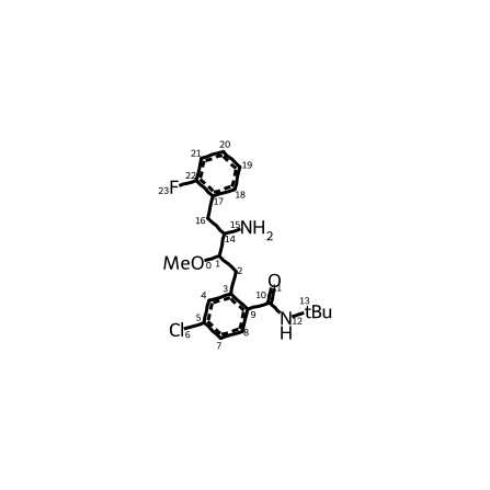 COC(Cc1cc(Cl)ccc1C(=O)NC(C)(C)C)C(N)Cc1ccccc1F